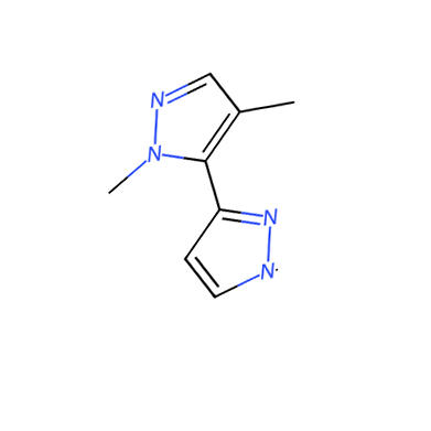 Cc1cnn(C)c1C1=N[N]C=C1